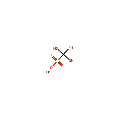 O=S(=O)([O-])C(S)(S)S.[Li+]